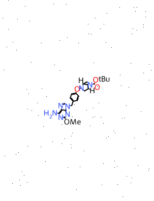 COc1nc(N)c2ncn(Cc3ccc(ON4C[C@@H]5C[C@H]4CN5C(=O)OC(C)(C)C)cc3)c2n1